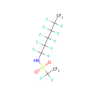 O=S(=O)(NC(F)(F)C(F)(F)C(F)(F)C(F)(F)C(F)(F)C(F)(F)F)C(F)(F)C(F)(F)F